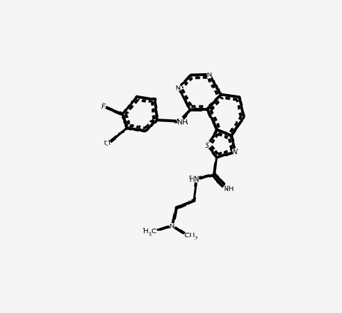 CN(C)CCNC(=N)c1nc2ccc3ncnc(Nc4ccc(F)c(Cl)c4)c3c2s1